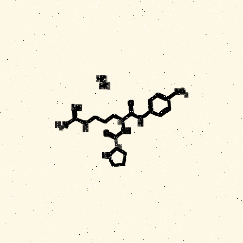 Cl.Cl.N=C(N)NCCC[C@H](NC(=O)[C@@H]1CCCN1)C(=O)Nc1ccc([N+](=O)[O-])cc1